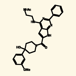 COc1cccc(C2(O)CCN(C(=O)c3cc4c(NCCNC(C)=O)nc(-c5ccccc5)nc4[nH]3)CC2)c1